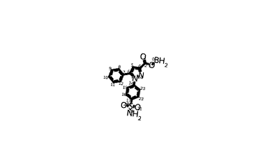 BOC(=O)c1cc(-c2ccccc2)n(-c2ccc(S(N)(=O)=O)cc2)n1